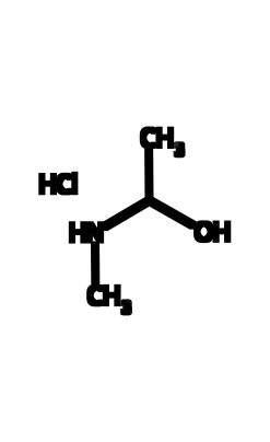 CNC(C)O.Cl